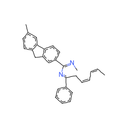 C/C=C\C=C/C/C(=N\C(=N/C)c1ccc2c(c1)Cc1ccc(C)cc1-2)c1ccccc1